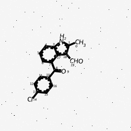 Cc1[nH]c2cccc(C(=O)c3ccc(Cl)cc3)c2c1C=O